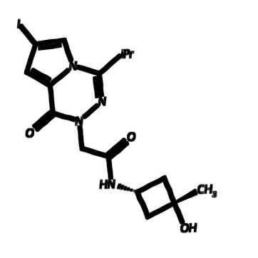 CC(C)c1nn(CC(=O)N[C@H]2C[C@@](C)(O)C2)c(=O)c2cc(I)cn12